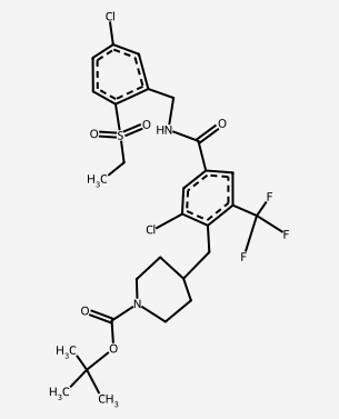 CCS(=O)(=O)c1ccc(Cl)cc1CNC(=O)c1cc(Cl)c(CC2CCN(C(=O)OC(C)(C)C)CC2)c(C(F)(F)F)c1